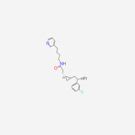 CCCC(CC1C[C@@H]1CCC(=O)NCCCCc1cccnc1)c1cccc(F)c1